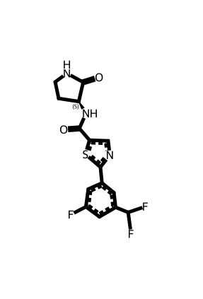 O=C(N[C@H]1CCNC1=O)c1cnc(-c2cc(F)cc(C(F)F)c2)s1